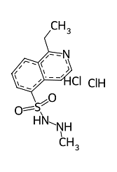 CCc1nccc2c(S(=O)(=O)NNC)cccc12.Cl.Cl